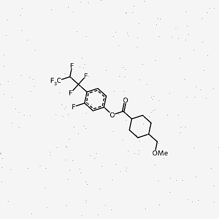 COCC1CCC(C(=O)Oc2ccc(C(F)(F)C(F)C(F)(F)F)c(F)c2)CC1